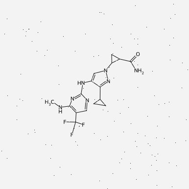 CNc1nc(Nc2cn(C3CC3C(N)=O)nc2C2CC2)ncc1C(F)(F)F